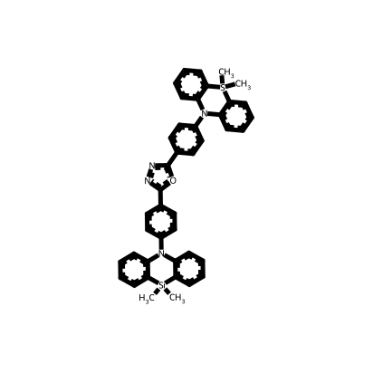 C[Si]1(C)c2ccccc2N(c2ccc(-c3nnc(-c4ccc(N5c6ccccc6S(C)(C)c6ccccc65)cc4)o3)cc2)c2ccccc21